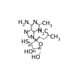 C=C(C)CC[C@@]1(n2cnc3c(N)nc(C)nc32)O[C@H](CO)[C@@H](O)[C@H]1S